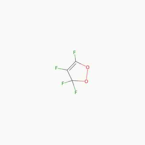 FC1=C(F)C(F)(F)OO1